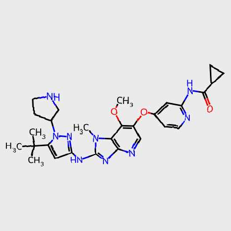 COc1c(Oc2ccnc(NC(=O)C3CC3)c2)cnc2nc(Nc3cc(C(C)(C)C)n(C4CCNC4)n3)n(C)c12